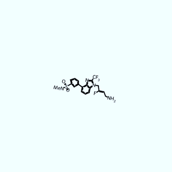 CNS(=O)(=O)c1cccc(-c2cccc3c2nc(C(F)(F)F)n3CC(F)=CCN)c1